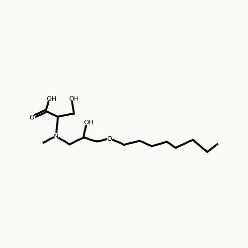 CCCCCCCCOCC(O)CN(C)C(CO)C(=O)O